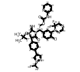 CC(C)(C)C[C@]1(c2ccc(-c3cnn(C(F)F)c3)cc2)NC(=N)N([C@H](COC(=O)Nc2ccccn2)c2ccc(Cl)c(N3N=CN=CC3(F)F)c2)C1=O